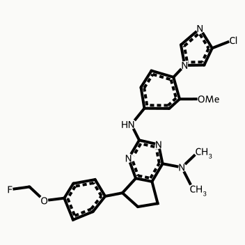 COc1cc(Nc2nc3c(c(N(C)C)n2)CCC3c2ccc(OCF)cc2)ccc1-n1cnc(Cl)c1